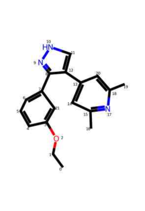 CCOc1cccc(-c2n[nH]cc2-c2cc(C)nc(C)c2)c1